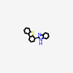 c1ccc2[nH]c(-c3cccc4c3sc3ccccc34)nc2c1